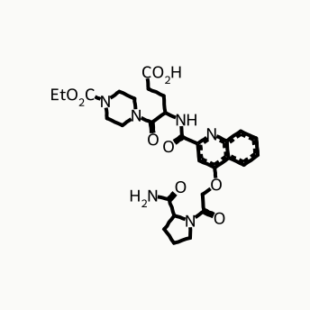 CCOC(=O)N1CCN(C(=O)C(CCC(=O)O)NC(=O)c2cc(OCC(=O)N3CCCC3C(N)=O)c3ccccc3n2)CC1